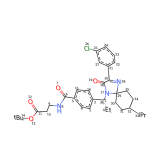 CC[C@H](c1ccc(C(=O)NCCC(=O)OC(C)(C)C)cc1)N1C(=O)C(c2cccc(Cl)c2)=NC12CCC(C(C)C)CC2